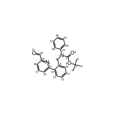 CC(C)(C)OC(=O)N(Cc1ccccc1-c1cccc(C=O)n1)c1ccccc1